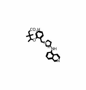 CC(Oc1ccccc1CN1CC[C@@H](Nc2cccc3cnccc23)C1)C(C)(C)CC(=O)O